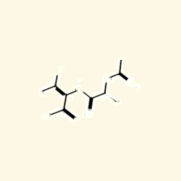 C=C(I)/C(NC(=O)[C@H](C)OC(C)=O)=C(\C)I